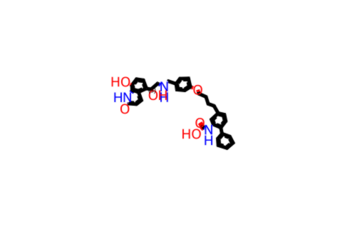 O=C(O)Nc1cc(CCCCOc2ccc(CNC[C@@H](O)c3ccc(O)c4[nH]c(=O)ccc34)cc2)ccc1-c1ccccc1